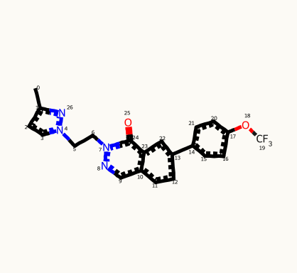 Cc1ccn(CCn2ncc3ccc(-c4ccc(OC(F)(F)F)cc4)cc3c2=O)n1